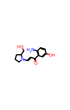 Nc1ccc(O)cc1C(=O)C=CN1CCCC1CO